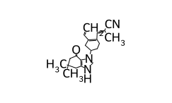 C=CC1=C(/C=C(\C)C#N)CCC(N2CNC3=C2C(=O)CC(C)(C)C3)C1